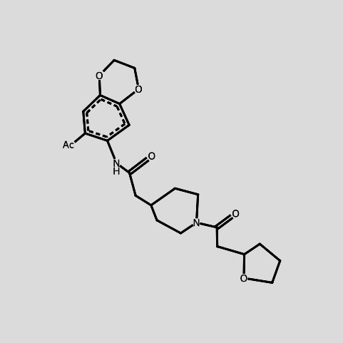 CC(=O)c1cc2c(cc1NC(=O)CC1CCN(C(=O)CC3CCCO3)CC1)OCCO2